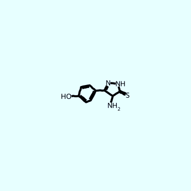 NC1C(=S)NN=C1c1ccc(O)cc1